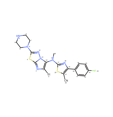 CCc1nc2sc(N3CCNCC3)nn2c1N(C)c1nc(-c2ccc(F)cc2)c(C#N)s1